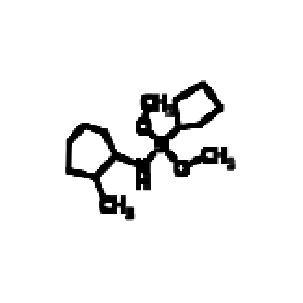 CO[Si](NC1CCCCC1C)(OC)C1CCCC1